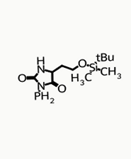 CC(C)(C)[Si](C)(C)OCCC1NC(=O)N(P)C1=O